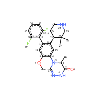 CC1C(=O)NN=C2COc3cc(-c4c(F)cccc4F)c([C@H]4CCNCC4(C)C)cc3N21